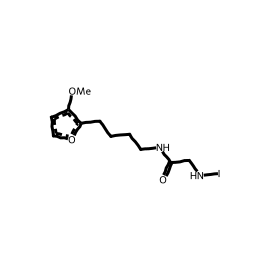 COc1ccoc1CCCCNC(=O)CNI